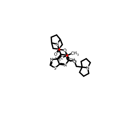 CC(C)(C)OC(=O)N1C2CCC1CN(c1nc(OCC34CCCN3CCC4)nc3scnc13)C2